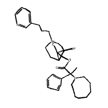 CC(C(=O)O[C@H]1C[N+]2(CCCc3cccnc3)CCC1CC2)(c1ccccc1)N1CCCCCC1